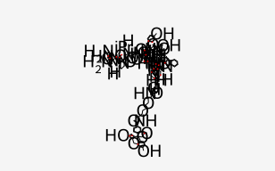 CC(C)C[C@H](NC(=O)[C@@H](CCCn1nnc2c1CC[C@H]1[C@@H](CC2)[C@H]1COC(=O)NCCOCCOCCNC(=O)c1ccc2c(c1)C(=O)OC21c2ccc(O)cc2Oc2cc(O)ccc21)NC(=O)[C@H](Cc1ccc(O)cc1)NC(=O)[C@H](CO)NC(=O)[C@H](Cc1c[nH]c2ccccc12)NC(=O)[C@H](Cc1c[nH]cn1)NC(=O)[C@@H]1CCC(=O)N1)C(=O)N[C@@H](CCCNC(=N)N)C(=O)N1CCC[C@H]1C(=O)NCC(N)=O